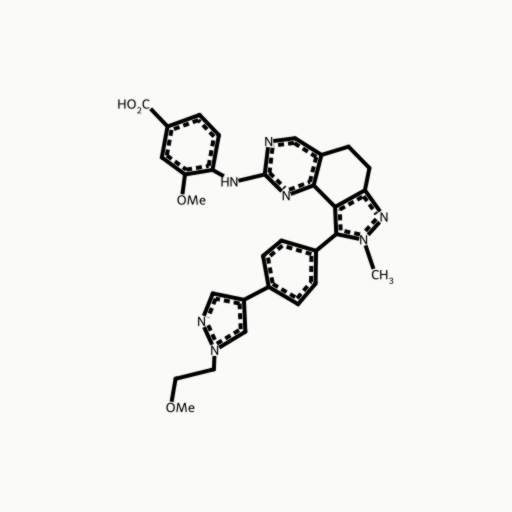 COCCn1cc(-c2ccc(-c3c4c(nn3C)CCc3cnc(Nc5ccc(C(=O)O)cc5OC)nc3-4)cc2)cn1